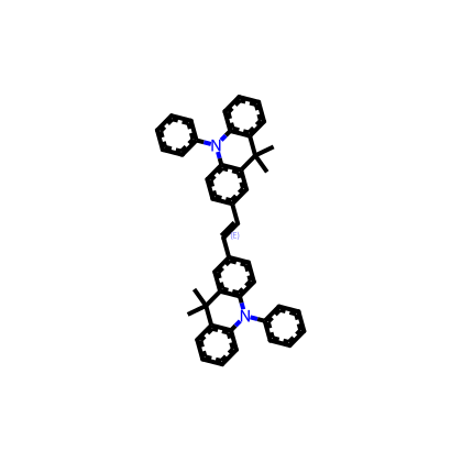 CC1(C)c2ccccc2N(c2ccccc2)c2ccc(/C=C/c3ccc4c(c3)C(C)(C)c3ccccc3N4c3ccccc3)cc21